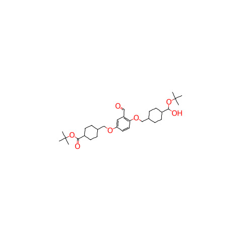 CC(C)(C)OC(=O)C1CCC(COc2ccc(OCC3CCC(C(O)OC(C)(C)C)CC3)c(C=O)c2)CC1